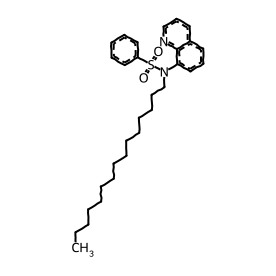 CCCCCCCCCCCCCCCN(c1cccc2cccnc12)S(=O)(=O)c1ccccc1